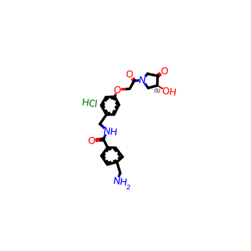 Cl.NCc1ccc(C(=O)NCc2ccc(OCC(=O)N3CC(=O)[C@@H](O)C3)cc2)cc1